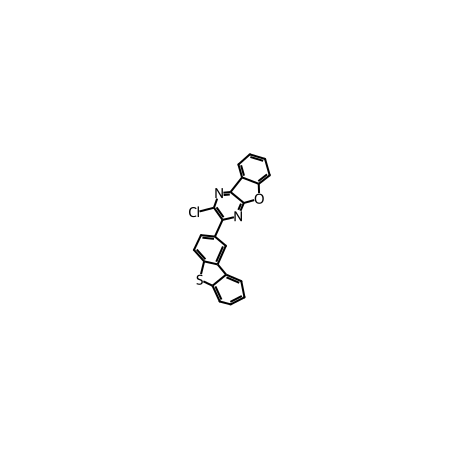 Clc1nc2c(nc1-c1ccc3sc4ccccc4c3c1)oc1ccccc12